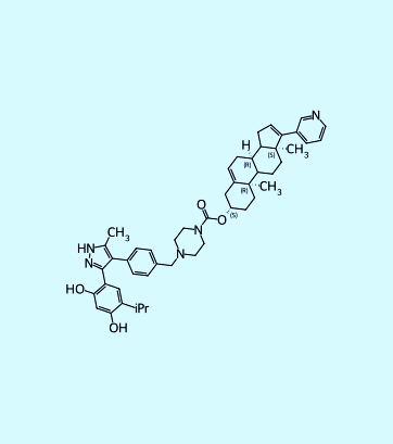 Cc1[nH]nc(-c2cc(C(C)C)c(O)cc2O)c1-c1ccc(CN2CCN(C(=O)O[C@H]3CC[C@@]4(C)C(=CC[C@@H]5C4CC[C@]4(C)C(c6cccnc6)=CCC54)C3)CC2)cc1